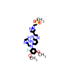 COc1cc(OC)c(F)c(N(Cc2ncc[nH]2)c2ccc3ncc(-c4cnn(CCS(C)(=O)=O)c4)nc3n2)c1